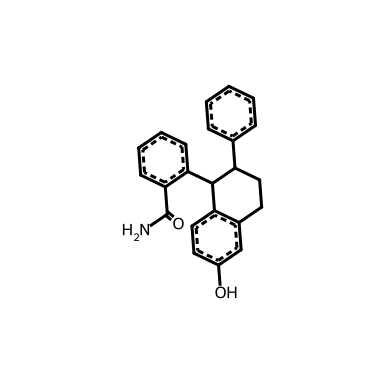 NC(=O)c1ccccc1C1c2ccc(O)cc2CCC1c1ccccc1